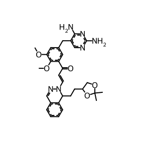 COc1cc(Cc2cnc(N)nc2N)cc(C(=O)/C=C/N2N=Cc3ccccc3C2CCC2COC(C)(C)O2)c1OC